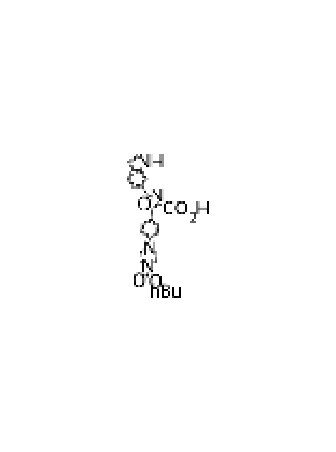 CCCCOC(=O)N1CCN(c2ccc(-c3oc(-c4ccc5cc[nH]c5c4)nc3C(=O)O)cc2)CC1